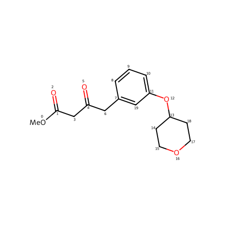 COC(=O)CC(=O)Cc1cccc(OC2CCOCC2)c1